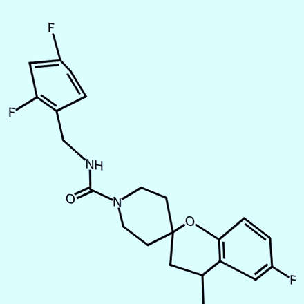 O=C(NCc1ccc(F)cc1F)N1CCC2(CC1)CC(O)c1cc(F)ccc1O2